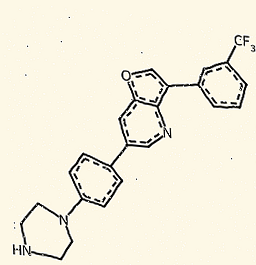 FC(F)(F)c1cccc(-c2coc3cc(-c4ccc(N5CCNCC5)cc4)cnc23)c1